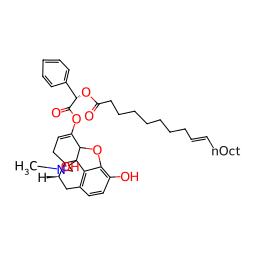 CCCCCCCC/C=C/CCCCCCCC(=O)O[C@H](C(=O)OC1=CC[C@@]2(O)[C@H]3Cc4ccc(O)c5c4C2(CCN3C)C1O5)c1ccccc1